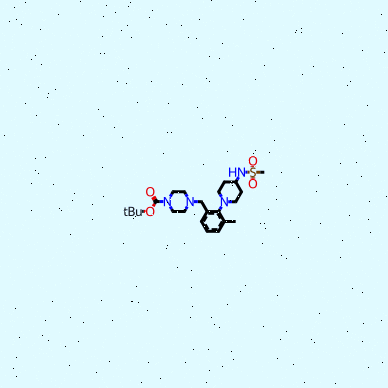 Cc1cccc(CN2CCN(C(=O)OC(C)(C)C)CC2)c1N1CCC(NS(C)(=O)=O)CC1